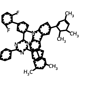 CC1=CC(C)C(C)C(c2ccc3c(c2)c2cc(-c4cc(C)cc(C)c4)ccc2n3-c2ccc(-c3c(F)cccc3F)cc2-c2nc(-c3ccccc3)nc(-c3ccccc3)n2)=C1